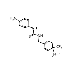 CN(C)C1(C(F)(F)F)C=CC(CNC(=S)Nc2ccc(N)cc2)=CC1